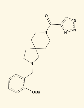 CC(C)COc1ccccc1CN1CCC2(CCN(C(=O)c3csnn3)CC2)C1